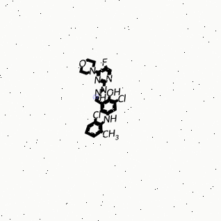 Cc1cccc(Cl)c1Nc1cc(Cl)c(O)c(/C=N\Nc2ncc(F)c(N3CCOCC3)n2)c1